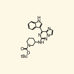 CC(C)(C)OC(=O)N1CCCC(Nc2nc(-c3c[nH]c4ccccc34)c3nccn3n2)C1